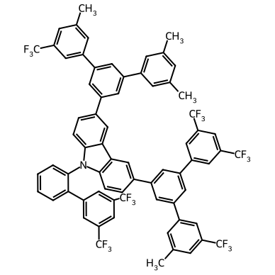 Cc1cc(C)cc(-c2cc(-c3cc(C)cc(C(F)(F)F)c3)cc(-c3ccc4c(c3)c3cc(-c5cc(-c6cc(C)cc(C(F)(F)F)c6)cc(-c6cc(C(F)(F)F)cc(C(F)(F)F)c6)c5)ccc3n4-c3ccccc3-c3cc(C(F)(F)F)cc(C(F)(F)F)c3)c2)c1